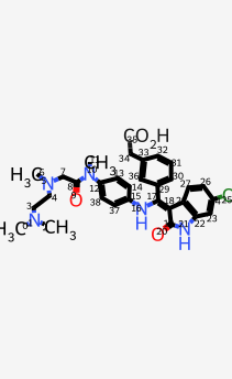 CN(C)CCN(C)CC(=O)N(C)c1ccc(N/C(=C2\C(=O)Nc3cc(Cl)ccc32)c2cccc(CC(=O)O)c2)cc1